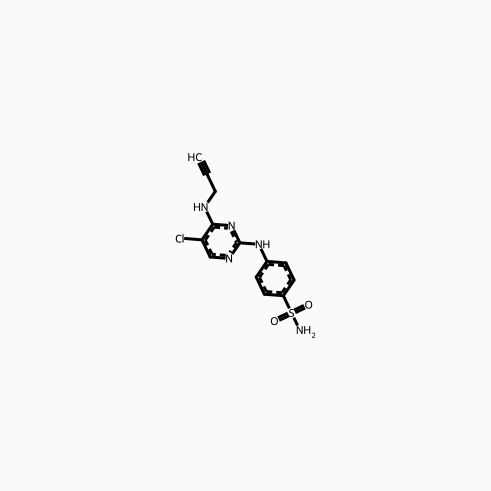 C#CCNc1nc(Nc2ccc(S(N)(=O)=O)cc2)ncc1Cl